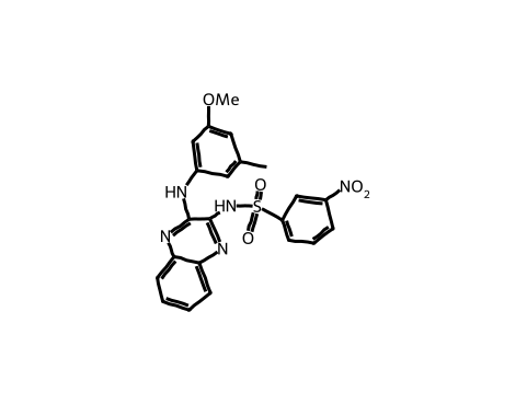 COc1cc(C)cc(Nc2nc3ccccc3nc2NS(=O)(=O)c2cccc([N+](=O)[O-])c2)c1